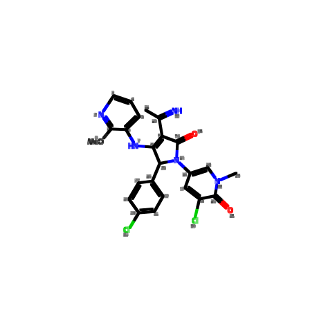 COc1ncccc1NC1=C(C(C)=N)C(=O)N(c2cc(Cl)c(=O)n(C)c2)C1c1ccc(Cl)cc1